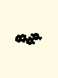 Cc1ccc(F)cc1-c1nc(-c2ncc3ccccc3n2)ccc1C